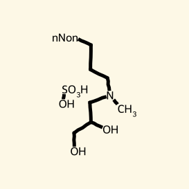 CCCCCCCCCCCCN(C)CC(O)CO.O=S(=O)(O)O